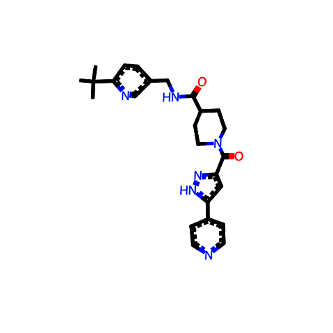 CC(C)(C)c1ccc(CNC(=O)C2CCN(C(=O)c3cc(-c4ccncc4)[nH]n3)CC2)cn1